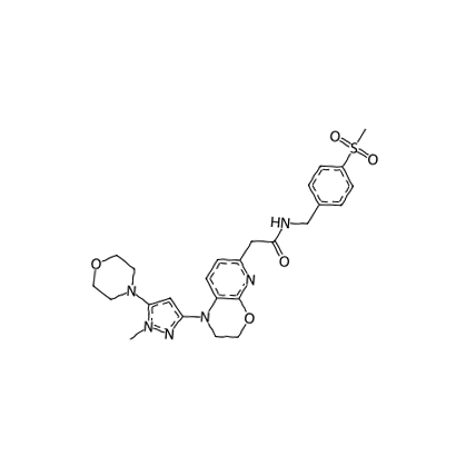 Cn1nc(N2CCOc3nc(CC(=O)NCc4ccc(S(C)(=O)=O)cc4)ccc32)cc1N1CCOCC1